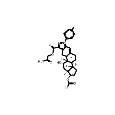 CCC(=O)O[C@@H]1CC[C@H]2[C@@H]3CCC4=Cc5c(c(C(=O)SCC(N)=O)nn5-c5ccc(F)cc5)C[C@]4(C)[C@H]3[C@@H](O)C[C@]12C